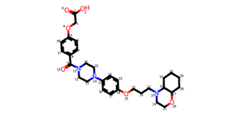 O=C(O)COc1ccc(C(=O)N2CCN(c3ccc(OCCCN4CCOC5CCCCC54)cc3)CC2)cc1